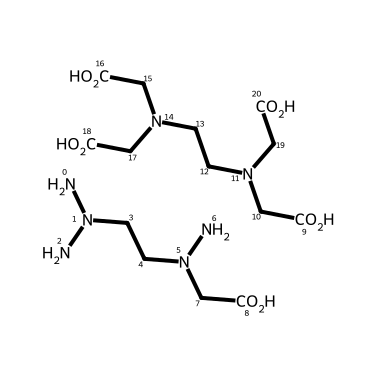 NN(N)CCN(N)CC(=O)O.O=C(O)CN(CCN(CC(=O)O)CC(=O)O)CC(=O)O